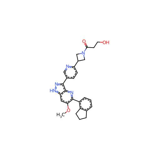 COc1cc2[nH]nc(-c3ccc(C4CN(C(=O)CCO)C4)nc3)c2nc1-c1cccc2c1CCC2